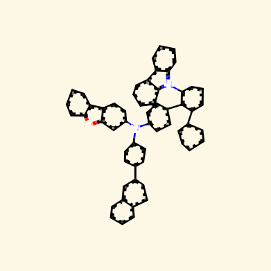 c1ccc(-c2cccc(-n3c4ccccc4c4ccccc43)c2-c2ccc(N(c3ccc(-c4ccc5ccccc5c4)cc3)c3ccc4c(c3)oc3ccccc34)cc2)cc1